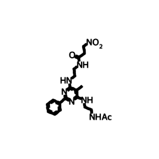 CC(=O)NCCNc1nc(-c2ccccc2)nc(NCCNC(=O)CC[N+](=O)[O-])c1C